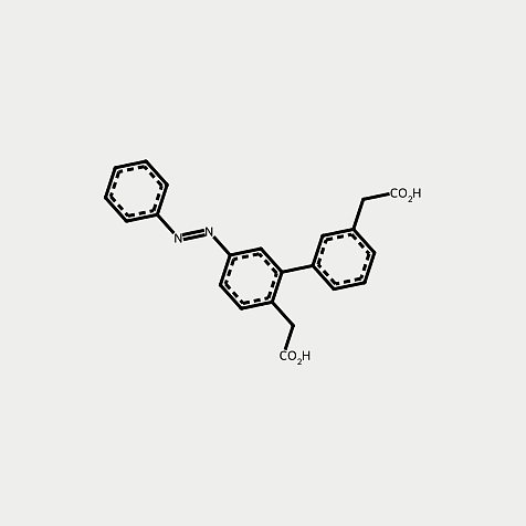 O=C(O)Cc1cccc(-c2cc(/N=N/c3ccccc3)ccc2CC(=O)O)c1